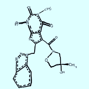 CC(C)n1c(=O)n(C)c(=O)c2c(C(=O)N3C[C@](C)(O)CO3)c(Cn3nnc4ccccc43)sc21